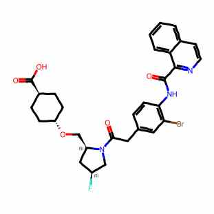 O=C(Nc1ccc(CC(=O)N2C[C@@H](F)C[C@H]2CO[C@H]2CC[C@H](C(=O)O)CC2)cc1Br)c1nccc2ccccc12